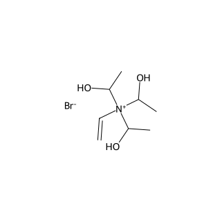 C=C[N+](C(C)O)(C(C)O)C(C)O.[Br-]